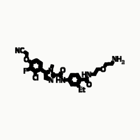 CCc1cc(NC(=O)c2ncc(-c3ccc(OCC#N)c(F)c3Cl)n2C)ccc1C(=O)NCCOCCN